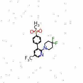 CS(=O)(=O)c1ccc(-c2cc(C(F)(F)F)cnc2N2CCC(F)(F)CC2)cc1